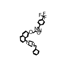 FC(F)(F)c1ccc(-c2noc(COc3ccc4cccc(N5CCN(Cc6ccccc6)CC5)c4c3)n2)cc1